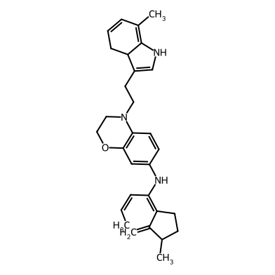 C=C1/C(=C(\C=C/C)Nc2ccc3c(c2)OCCN3CCC2=CNC3=C(C)C=CCC23)CCC1C